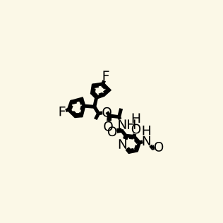 CC(NC(=O)c1nccc(NC=O)c1O)C(=O)OC(C)C(c1ccc(F)cc1)c1ccc(F)cc1